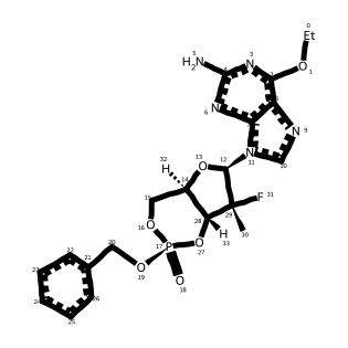 CCOc1nc(N)nc2c1ncn2[C@@H]1O[C@@H]2CO[P@](=O)(OCc3ccccc3)O[C@H]2[C@@]1(C)F